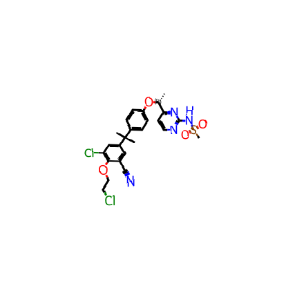 C[C@@H](Oc1ccc(C(C)(C)c2cc(Cl)c(OCCCl)c(C#N)c2)cc1)c1ccnc(NS(C)(=O)=O)n1